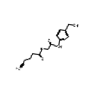 C#CCCCC(=O)NCC(=O)Nc1ccc(CO)cc1